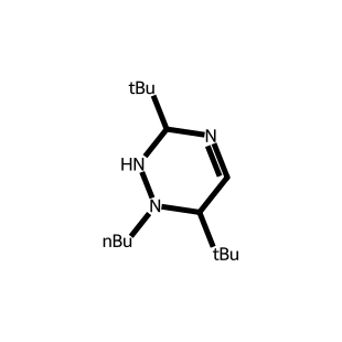 CCCCN1NC(C(C)(C)C)N=CC1C(C)(C)C